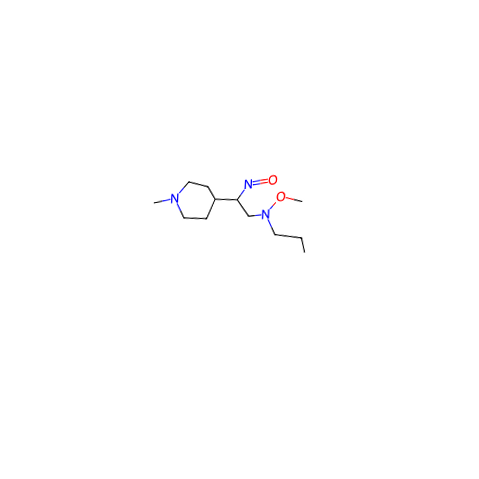 CCCN(CC(N=O)C1CCN(C)CC1)OC